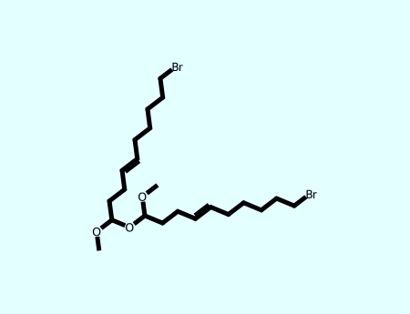 COC(CCC=CCCCCCBr)OC(CCC=CCCCCCBr)OC